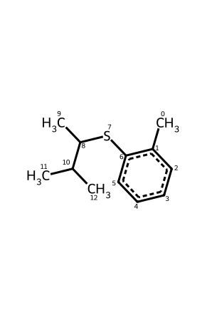 Cc1ccccc1SC(C)C(C)C